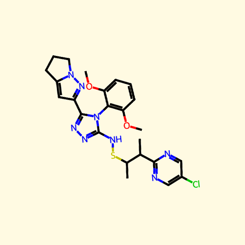 COc1cccc(OC)c1-n1c(NSC(C)C(C)c2ncc(Cl)cn2)nnc1-c1cc2n(n1)CCC2